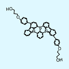 OCCCOc1ccc(-c2ccc3c4cccc5c4n(c3c2)-c2cccc3c2B5c2ccc(-c4ccc(OCCCO)cc4)c4c5ccccc5n-3c24)cc1